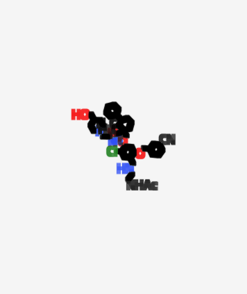 CC(=O)NCCNCc1cc(Cl)c(OCC2(c3nnc(CN4CCC(CO)CC4)o3)C=CC=C(c3ccccc3)C2(C)C)cc1OCc1cccc(C#N)c1